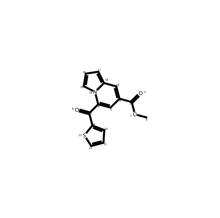 COC(=O)c1cc(C(=O)c2cccs2)n2cccc2c1